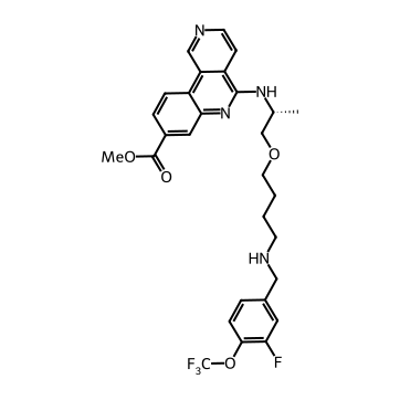 COC(=O)c1ccc2c(c1)nc(N[C@H](C)COCCCCNCc1ccc(OC(F)(F)F)c(F)c1)c1ccncc12